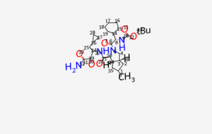 CC1C[C@H]2CN(C(=O)[C@@H](NC(=O)OC(C)(C)C)C3CCCCC3)[C@H](C(=O)NC(CC3CC3)C(=O)C(N)=O)[C@H]2C1